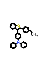 C=Cc1ccc(-c2sc3ccccc3c2-c2ccc(N(c3ccccc3)c3ccccc3)cc2)cc1